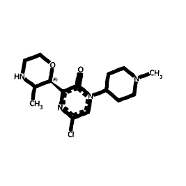 CC1NCCO[C@H]1c1nc(Cl)cn(C2CCN(C)CC2)c1=O